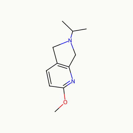 COc1ccc2c(n1)CN(C(C)C)C2